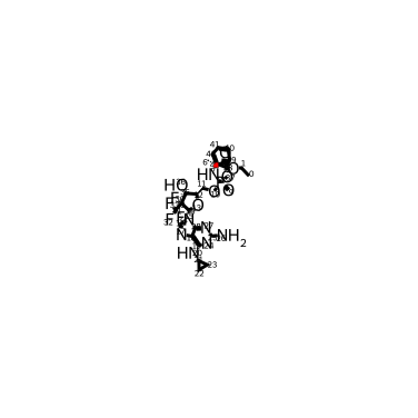 CCOC(=O)[C@@H](C)NP(=O)(OC[C@H]1O[C@@H](n2cnc3c(NC4CC4)nc(N)nc32)[C@@](F)(C(F)(F)F)[C@@H]1O)Oc1ccccc1